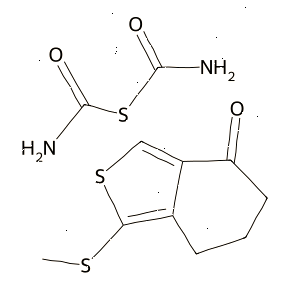 CSc1scc2c1CCCC2=O.NC(=O)SC(N)=O